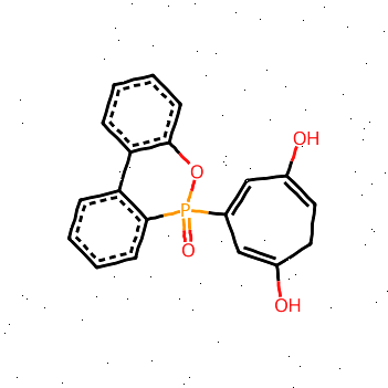 O=P1(C2=CC(O)=CCC(O)=C2)Oc2ccccc2-c2ccccc21